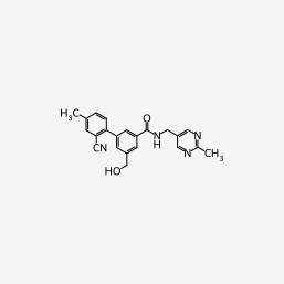 Cc1ccc(-c2cc(CO)cc(C(=O)NCc3cnc(C)nc3)c2)c(C#N)c1